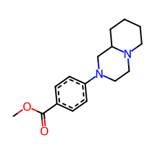 COC(=O)c1ccc(N2CCN3CCCCC3C2)cc1